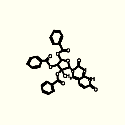 C[C@@]1(OC(=O)c2ccccc2)C(OC(=O)c2ccccc2)C(OC(=O)c2ccccc2)O[C@H]1n1cc2ccc(=O)[nH]c2nc1=O